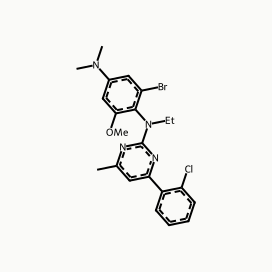 CCN(c1nc(C)cc(-c2ccccc2Cl)n1)c1c(Br)cc(N(C)C)cc1OC